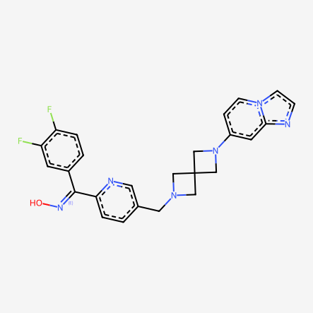 O/N=C(\c1ccc(F)c(F)c1)c1ccc(CN2CC3(C2)CN(c2ccn4ccnc4c2)C3)cn1